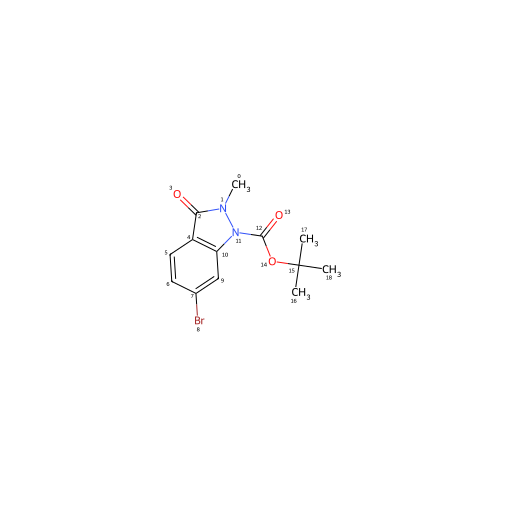 Cn1c(=O)c2ccc(Br)cc2n1C(=O)OC(C)(C)C